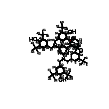 CC(C)(C)C1=CC(CN(Cc2cc(C(C)(C)C)c(O)c(C(C)(C)C)c2)c2nc(-c3ccccc3)nc(N(Cc3cc(C(C)(C)C)c(O)c(C(C)(C)C)c3)Cc3cc(C(C)(C)C)c(O)c(C(C)(C)C)c3)n2)CC2=C1OC2(C)C